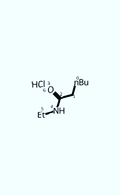 CCCCCC(=O)NCC.Cl